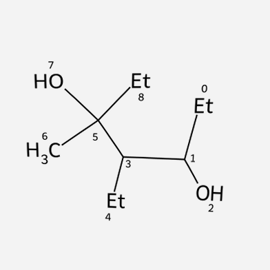 CCC(O)C(CC)C(C)(O)CC